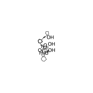 C[C@@H](O)[C@H]1[C@@H](CO)ON(Cc2cccc(C#CC3(O)CCCC3)c2)[C@H]1C(=O)NCC1CCCCC1